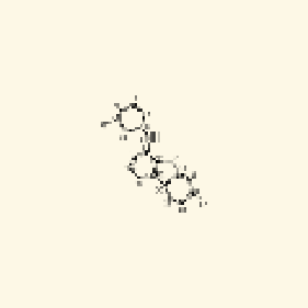 Cc1cccc(Nc2cccc3c2Cc2cc(C)ccc2-3)c1